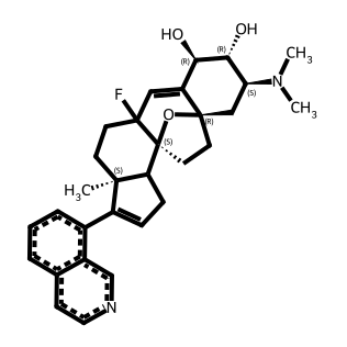 CN(C)[C@H]1C[C@@]23CC[C@]4(O2)C2CC=C(c5cccc6ccncc56)[C@@]2(C)CCC4(F)C=C3[C@@H](O)[C@@H]1O